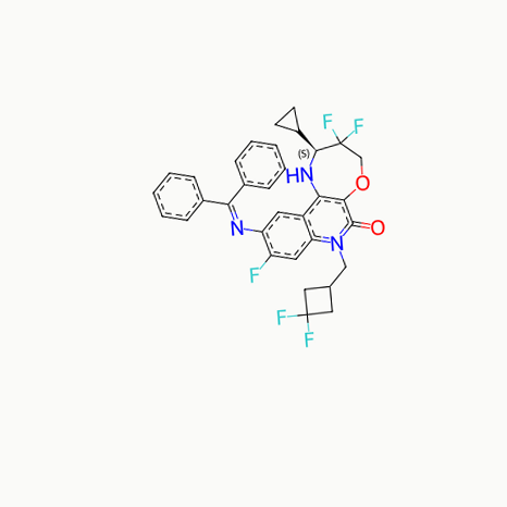 O=c1c2c(c3cc(N=C(c4ccccc4)c4ccccc4)c(F)cc3n1CC1CC(F)(F)C1)N[C@@H](C1CC1)C(F)(F)CO2